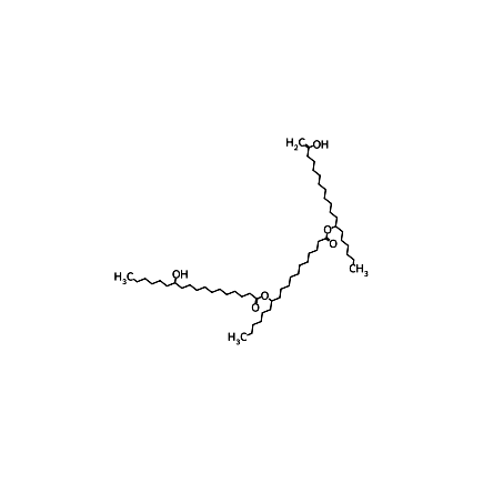 C=C(O)CCCCCCCCCCC(CCCCCC)OC(=O)CCCCCCCCCCC(CCCCCC)OC(=O)CCCCCCCCCCC(O)CCCCCC